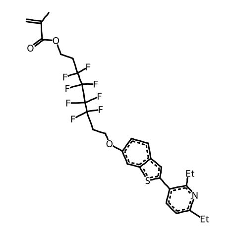 C=C(C)C(=O)OCCC(F)(F)C(F)(F)C(F)(F)C(F)(F)CCOc1ccc2cc(-c3ccc(CC)nc3CC)sc2c1